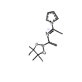 C=C(/N=C(\C)n1cccc1)B1OC(C)(C)C(C)(C)O1